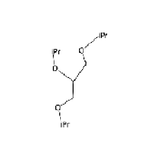 CC(C)OCC(COC(C)C)OC(C)C